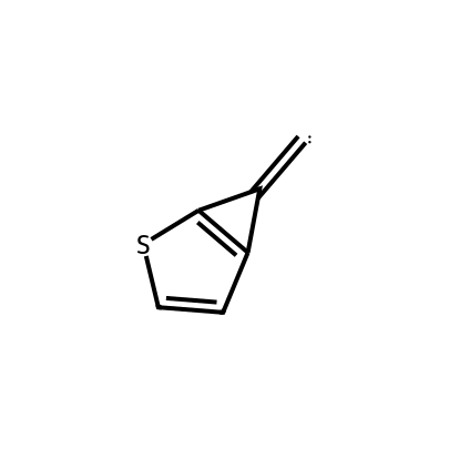 [C]=C1c2ccsc21